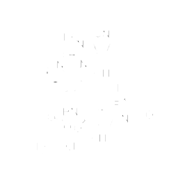 CC[C@H](C)OC(=O)[C@H](Cc1ccc(N2C(=O)N(C)c3cnccc3C2O)c2ncccc12)NC(=O)c1c(C)cc(N2CCOC[C@@H]2C(F)(F)F)cc1F